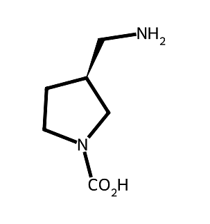 NC[C@@H]1CCN(C(=O)O)C1